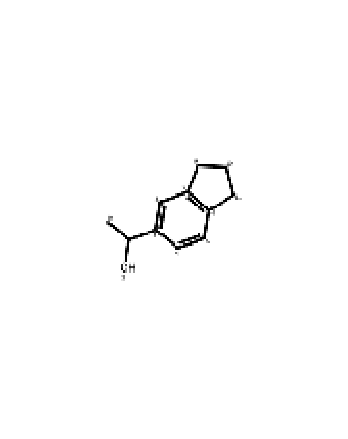 CC(O)c1ccc2c(c1)CCC2